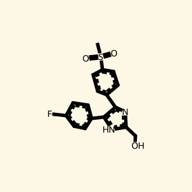 CS(=O)(=O)c1ccc(-c2nc(CO)[nH]c2-c2ccc(F)cc2)cc1